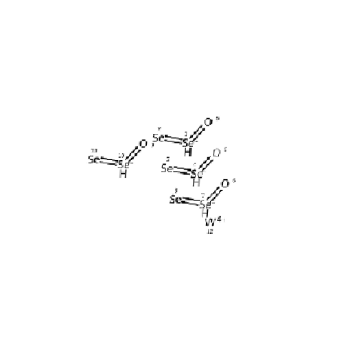 O=[SeH-]=[Se].O=[SeH-]=[Se].O=[SeH-]=[Se].O=[SeH-]=[Se].[W+4]